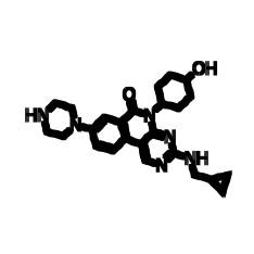 O=c1c2cc(N3CCNCC3)ccc2c2cnc(NCC3CC3)nc2n1C1CCC(O)CC1